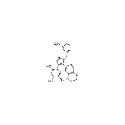 CCc1cc(-c2nnn(Cc3cccc([N+](=O)[O-])c3)c2-c2ccc3c(c2)OCCO3)c(O)cc1O